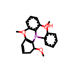 COC1=C(P(c2ccccc2O)c2c(C)cccc2OC)C(OC)CC=C1